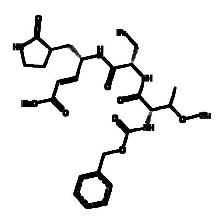 CC(C)COC(=O)/C=C/[C@H](CC1CCNC1=O)NC(=O)[C@H](CC(C)C)NC(=O)[C@@H](NC(=O)OCc1ccccc1)C(C)OC(C)(C)C